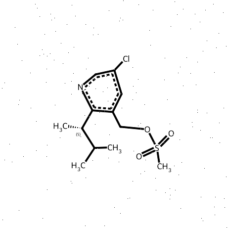 CC(C)[C@H](C)c1ncc(Cl)cc1COS(C)(=O)=O